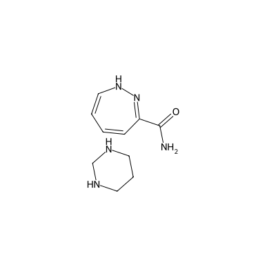 C1CNCNC1.NC(=O)C1=NNC=CC=C1